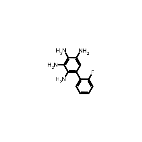 Nc1cc(-c2ccccc2F)c(N)c(N)c1N